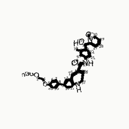 CCCCOCCOc1ccc(-c2ccc3c(c2)C=C(C(=O)Nc2ccc(C(O)c4cccc[n+]4[O-])c(C)c2)CCN3)cc1